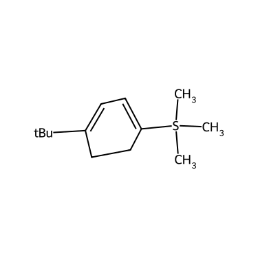 CC(C)(C)C1=CC=C(S(C)(C)C)CC1